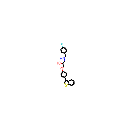 OC(CNCc1ccc(F)cc1)COc1ccc(-c2csc3ccccc23)cc1